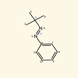 CC(C)(C)/N=N/c1ccccc1